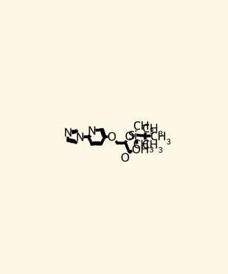 CC(C)(C)[Si](C)(C)OC(COc1ccc(-n2ccnc2)nc1)C(=O)O